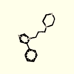 c1ccc(-c2cncn2CCCN2CCSCC2)cc1